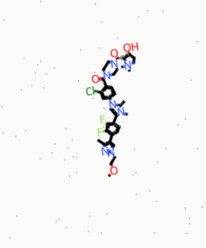 COCCn1cc(-c2ccc(C3=CN(c4ccc(C(=O)N5CCN(C(=O)[C@@H]6[C@@H](O)CC[N+]6(C)C)CC5)c(Cl)c4)C(C)N3C)c(F)c2F)c(C)n1